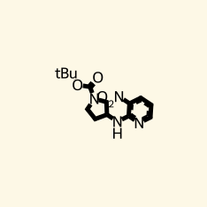 CC(C)(C)OC(=O)N1CCC(Nc2ncccc2[N+](=O)[O-])C1